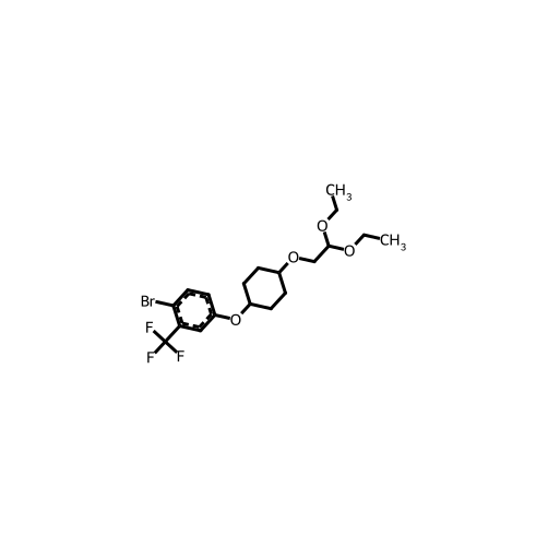 CCOC(COC1CCC(Oc2ccc(Br)c(C(F)(F)F)c2)CC1)OCC